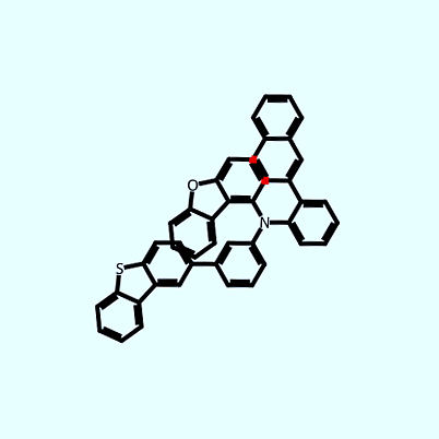 c1cc(-c2ccc3sc4ccccc4c3c2)cc(N(c2ccccc2-c2ccc3ccccc3c2)c2cccc3oc4ccccc4c23)c1